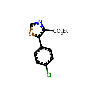 CCOC(=O)c1ncsc1-c1ccc(Cl)cc1